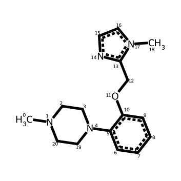 CN1CCN(c2ccccc2OCc2nccn2C)CC1